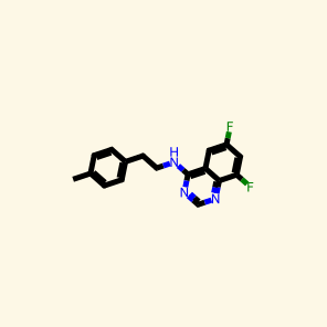 Cc1ccc(CCNc2ncnc3c(F)cc(F)cc23)cc1